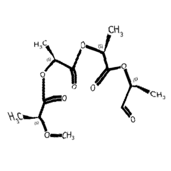 CO[C@@H](C)C(=O)O[C@@H](C)C(=O)O[C@@H](C)C(=O)O[C@@H](C)C=O